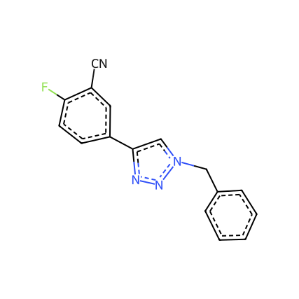 N#Cc1cc(-c2cn(Cc3ccccc3)nn2)ccc1F